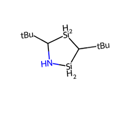 CC(C)(C)C1N[SiH2]C(C(C)(C)C)[SiH2]1